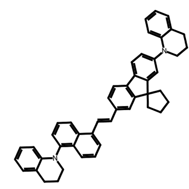 C(=C\c1cccc2c(N3CCCc4ccccc43)cccc12)/c1ccc2c(c1)C1(CCCC1)c1cc(N3CCCc4ccccc43)ccc1-2